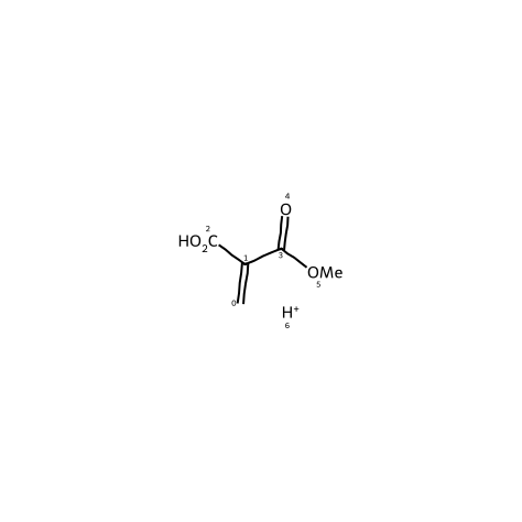 C=C(C(=O)O)C(=O)OC.[H+]